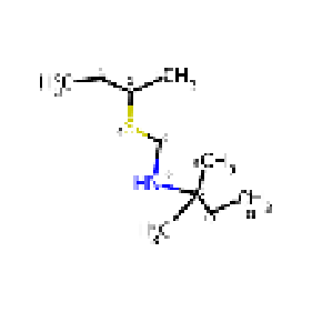 CCC(C)SCNC(C)(C)CC